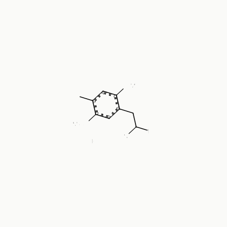 CCC(N)Cc1cc(OC)c(C)cc1OC.Cl